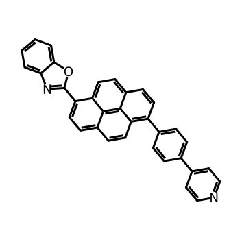 c1ccc2oc(-c3ccc4ccc5c(-c6ccc(-c7ccncc7)cc6)ccc6ccc3c4c65)nc2c1